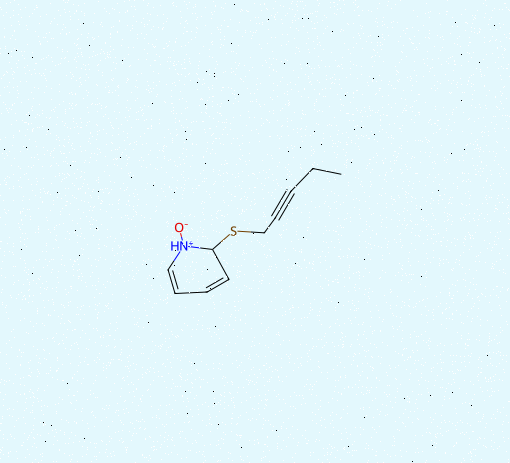 CCC#CCSC1C=CC=C[NH+]1[O-]